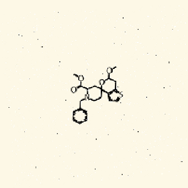 COC(=O)C1CC2(CCN1Cc1ccccc1)OC(OC)Cc1sccc12